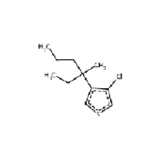 CCCC(C)(CC)c1cscc1Cl